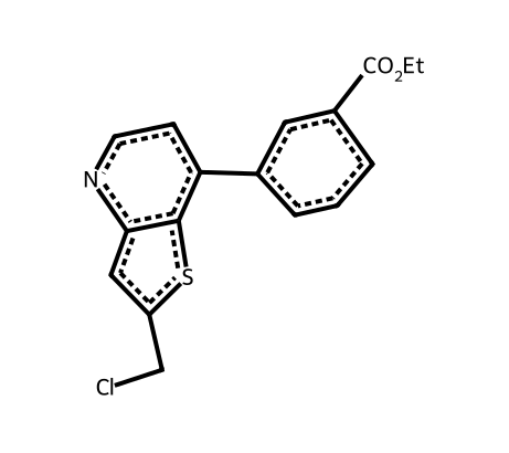 CCOC(=O)c1cccc(-c2ccnc3cc(CCl)sc23)c1